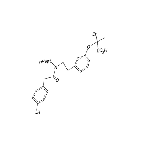 CCCCCCCN(CCc1cccc(OC(C)(CC)C(=O)O)c1)C(=O)Cc1ccc(O)cc1